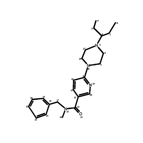 CCC(CC)N1CCN(c2ccc(C(=O)N(C)Cc3ccccc3)cn2)CC1